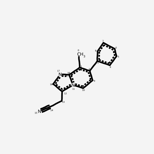 Cc1c(-c2ccccc2)ccn2c(CC#N)cnc12